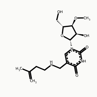 C=C(C)CCNCc1cn([C@@H]2O[C@H](CO)[C@@H](OC)[C@H]2O)c(=O)[nH]c1=O